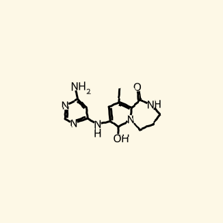 CC1=C2C(=O)NCCCN2C(O)C(Nc2cc(N)ncn2)=C1